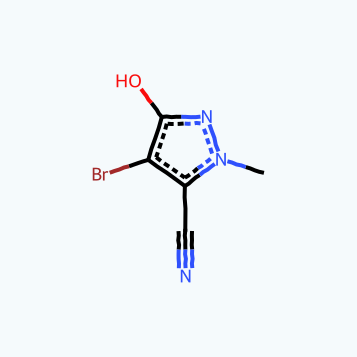 Cn1nc(O)c(Br)c1C#N